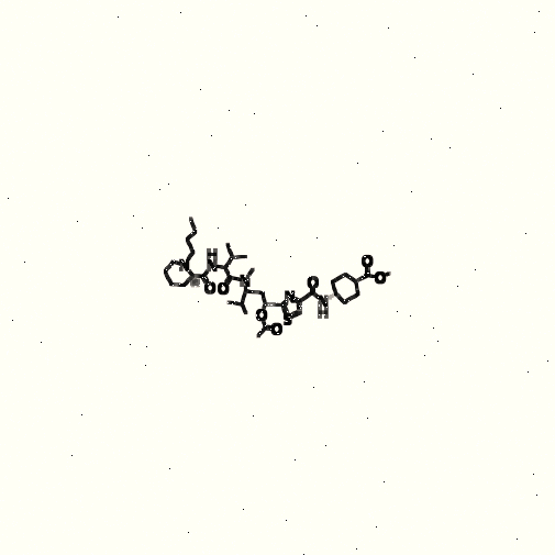 CCCCN1CCCC[C@@H]1C(=O)NC(C(=O)N(C)C(CC(OC(C)=O)c1nc(C(=O)N[C@H]2CC[C@H](C(=O)OC)CC2)cs1)C(C)C)C(C)C